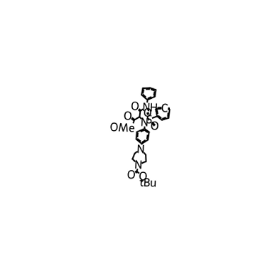 COC(=O)C(C(=O)Nc1ccccc1)N(c1ccc(N2CCN(C(=O)OC(C)(C)C)CC2)cc1)S(=O)(=O)c1ccccc1